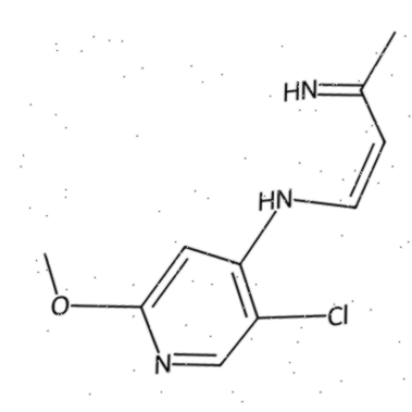 COc1cc(N/C=C\C(C)=N)c(Cl)cn1